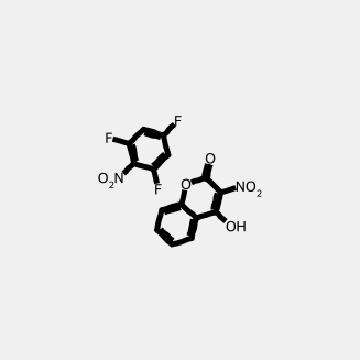 O=[N+]([O-])c1c(F)cc(F)cc1F.O=c1oc2ccccc2c(O)c1[N+](=O)[O-]